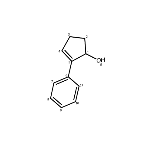 OC1CCC=C1c1ccccc1